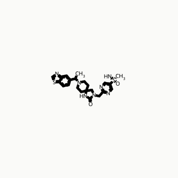 CC(c1ccc2scnc2c1)N1CCC2(CC1)CN(Cc1ncc(S(C)(=N)=O)cn1)C(=O)N2